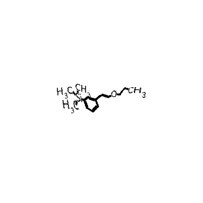 CCCOC=Cc1cccc([Si](C)(C)C)c1